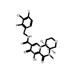 O=C(NCc1ccc(F)c(Cl)c1F)c1cn2c(c(O)c1=O)C(=O)N(I)[C@@H]1COCC[C@@H]12